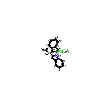 C[C](C)=[Zr]([CH3])([c]1cc2ccccc2[nH]1)[CH]1C=Cc2ccccc21.Cl.Cl